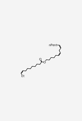 CC/C=C\CCCCCCCC(=O)OCCCCC/C=C\C/C=C\CCCCC